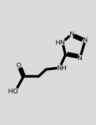 O=C(O)CCNc1nnn[nH]1